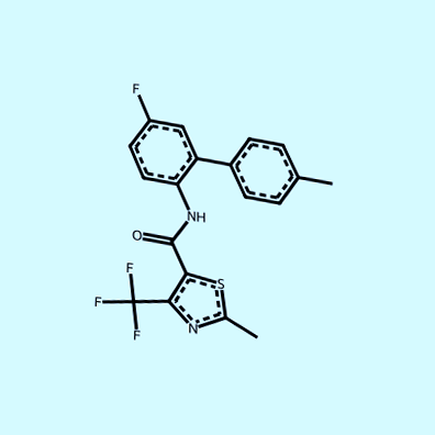 Cc1ccc(-c2cc(F)ccc2NC(=O)c2sc(C)nc2C(F)(F)F)cc1